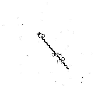 CCCCCNC(=O)CCCNC(=O)CCCCCCCCCCC(=O)OC(C)(C)C